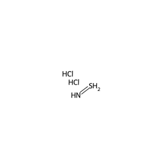 Cl.Cl.N=[SH2]